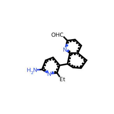 CCc1nc(N)ccc1-c1cccc2ccc(C=O)nc12